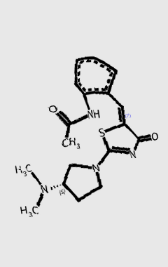 CC(=O)Nc1ccccc1/C=C1\SC(N2CC[C@H](N(C)C)C2)=NC1=O